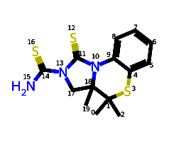 CC1(C)Sc2ccccc2N2C(=S)N(C(N)=S)CC21C